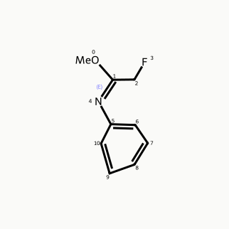 CO/C(CF)=N/c1ccccc1